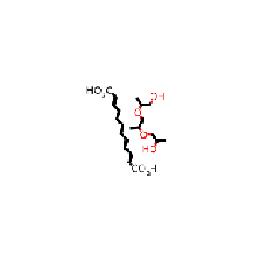 CC(O)COC(C)COC(C)CO.O=C(O)C=CCCCCCCC=CC(=O)O